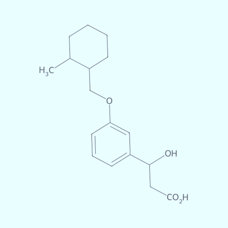 CC1CCCCC1COc1cccc(C(O)CC(=O)O)c1